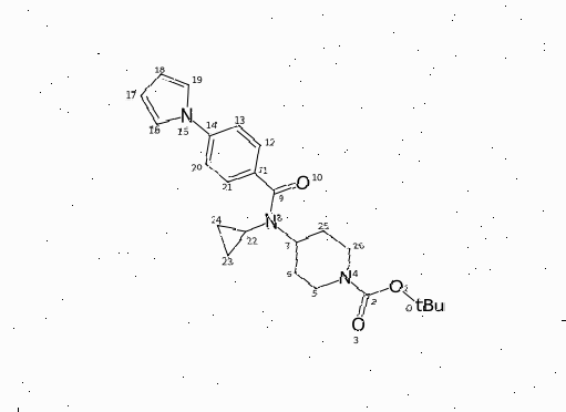 CC(C)(C)OC(=O)N1CCC(N(C(=O)c2ccc(-n3cccc3)cc2)C2CC2)CC1